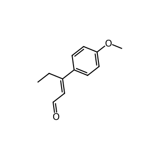 CCC(=CC=O)c1ccc(OC)cc1